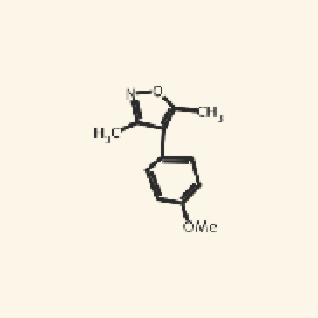 COc1ccc(-c2c(C)noc2C)cc1